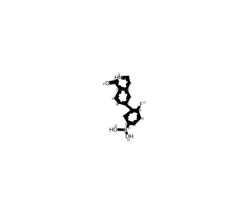 O=c1[nH]ccc2cc(-c3cc(B(O)O)ccc3F)ccc12